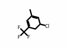 CC1=CC(Cl)CC(C(F)(F)F)=C1